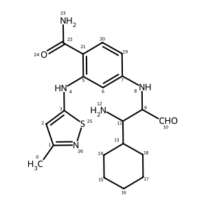 Cc1cc(Nc2cc(NC(C=O)C(N)C3CCCCC3)ccc2C(N)=O)sn1